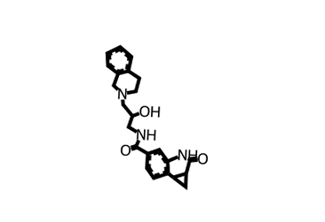 O=C(NCC(O)CN1CCc2ccccc2C1)c1ccc2c(c1)NC(=O)C1CC21